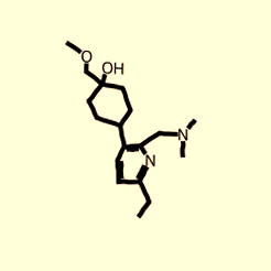 CCc1ccc(C2CCC(O)(COC)CC2)c(CN(C)C)n1